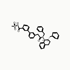 CS(=O)(=O)NC(=O)c1cccc(-c2cccc(CC(=O)N(Cc3ccccc3)[C@@H]3c4ccccc4CC[C@H]3Cc3ccccc3)c2)c1